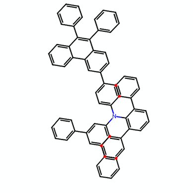 c1ccc(-c2cc(-c3ccccc3)cc(N(c3ccc(-c4ccc5c(-c6ccccc6)c(-c6ccccc6)c6ccccc6c5c4)cc3)c3c(-c4ccccc4)cccc3-c3ccccc3)c2)cc1